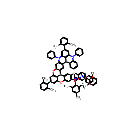 Cc1cc(C)c(N2c3cc4c(cc3B3c5ccccc5N(c5ccccc5)c5cc(-c6c(C)cccc6C)cc2c53)B2c3cc5c(cc3Oc3cc(-c6c(C)cccc6C)cc(c32)O4)N(c2ccccc2)c2cc(-c3c(C)cccc3C)cc3c2B5c2ccccc2N3c2ccccc2)c(C)c1